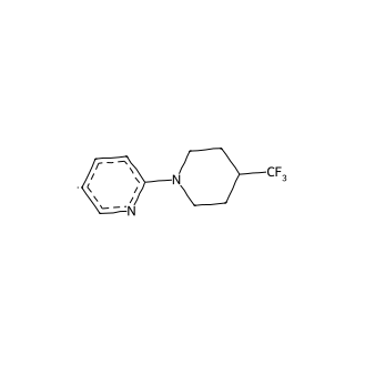 FC(F)(F)C1CCN(c2cc[c]cn2)CC1